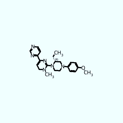 CC[C@@H]1CN(c2ccc(OC)cc2)CCN1C1=NC(c2ccncn2)=CCN1C